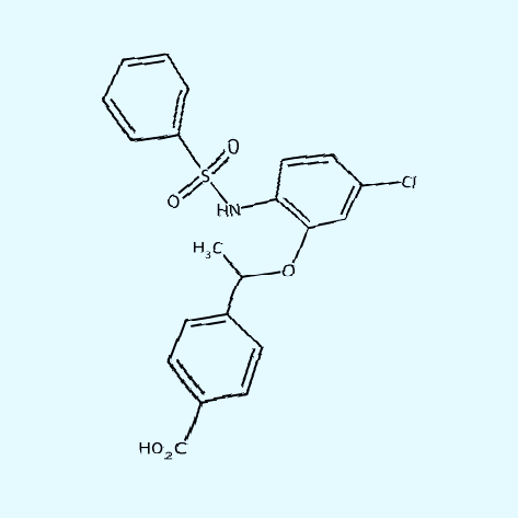 CC(Oc1cc(Cl)ccc1NS(=O)(=O)c1ccccc1)c1ccc(C(=O)O)cc1